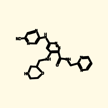 N#Cc1cnc(Nc2cc(NCC3CNCCO3)c(C(=O)NCc3ncccn3)nn2)cn1